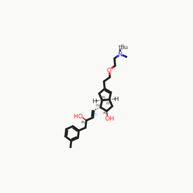 Cc1cccc(C[C@@H](O)/C=C/[C@@H]2[C@H]3CC(CCOCCN(C)C(C)(C)C)=C[C@H]3C[C@H]2O)c1